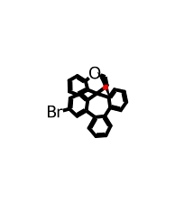 Brc1ccc2c(c1)-c1ccccc1-c1ccccc1C21c2ccccc2Oc2ccccc21